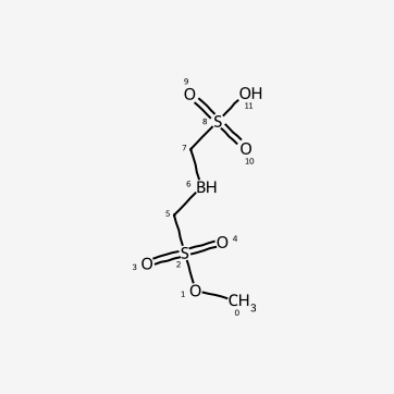 COS(=O)(=O)CBCS(=O)(=O)O